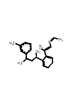 C/C=N\C=C(/C)C1=CCCC=C1C(C)CC(C)c1cccc(C)c1